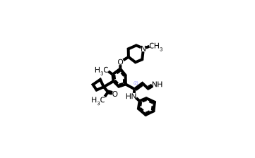 CC(=O)C1(c2cc(/C(=C/C=N)Nc3ccccc3)cc(OC3CCN(C)CC3)c2C)CCC1